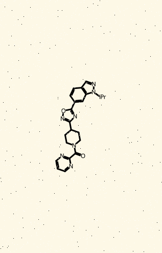 CC(C)n1ncc2ccc(-c3nc(C4CCN(C(=O)c5ncccn5)CC4)no3)cc21